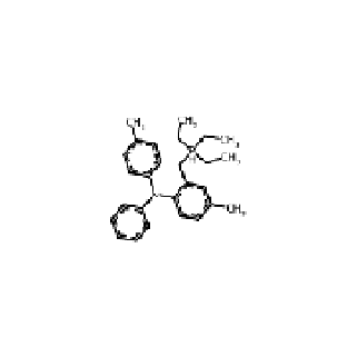 CC[PH](CC)(CC)Cc1cc(C)ccc1N(c1ccccc1)c1ccc(C)cc1